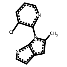 Cc1cc2ccsc2n1-c1ncccc1Cl